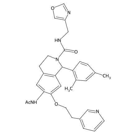 CC(=O)Nc1cc2c(cc1OCCc1cccnc1)C(c1ccc(C)cc1C)N(C(=O)NCc1cocn1)CC2